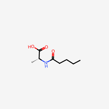 CCCCC(=O)N[C@H](C)C(=O)O